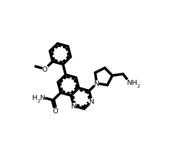 COc1ccccc1-c1cc(C(N)=O)c2ncnc(N3CCC(CN)C3)c2c1